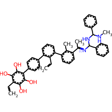 C=Cc1c(-c2ccc(-c3c(O)c(O)c(C=C)c(O)c3O)cc2)cccc1-c1cccc(/C(C)=N/C(NC(NC)c2ccccc2)c2ccccc2)c1C